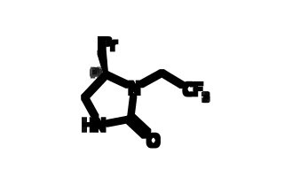 CC(C)[C@@H]1CNC(=O)N1CC(F)(F)F